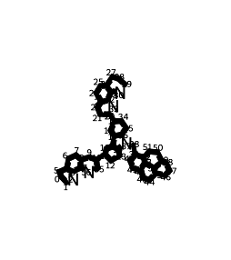 c1cnc2c(c1)ccc1cc(-c3ccc4c(c3)c3cc(-c5ccc6ccc7cccnc7c6n5)ccc3n4Cc3ccc4ccc5cccc6ccc3c4c56)cnc12